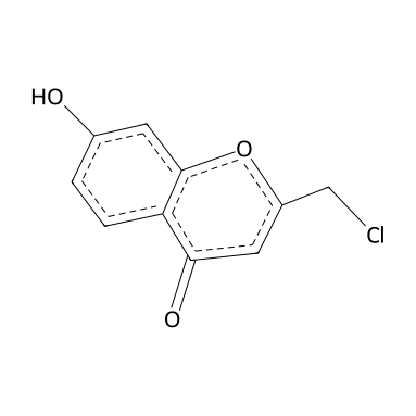 O=c1cc(CCl)oc2cc(O)ccc12